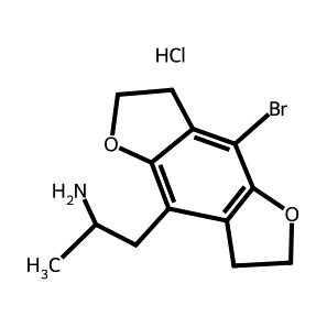 CC(N)Cc1c2c(c(Br)c3c1OCC3)OCC2.Cl